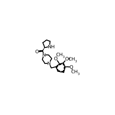 COc1ccc(CN2CCN(C(=O)[C@H]3CCCN3)CC2)c(OC)c1OC